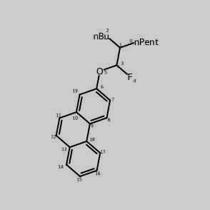 CCCCCC(CCCC)C(F)Oc1ccc2c(ccc3ccccc32)c1